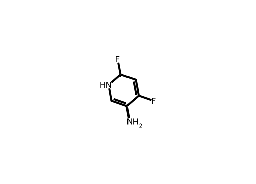 NC1=CN[C](F)C=C1F